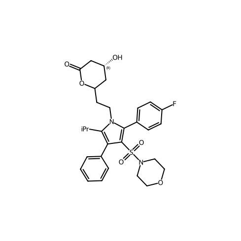 CC(C)c1c(-c2ccccc2)c(S(=O)(=O)N2CCOCC2)c(-c2ccc(F)cc2)n1CCC1C[C@@H](O)CC(=O)O1